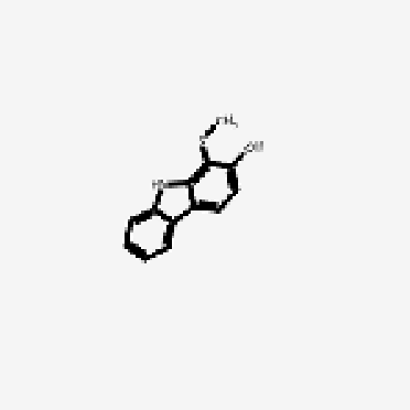 CSc1c(O)ccc2c1[nH]c1ccccc12